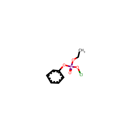 CCOP(=O)(OCl)Oc1ccccc1